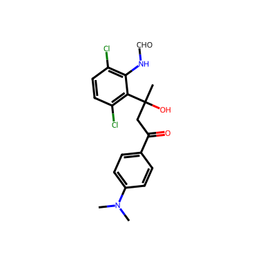 CN(C)c1ccc(C(=O)CC(C)(O)c2c(Cl)ccc(Cl)c2NC=O)cc1